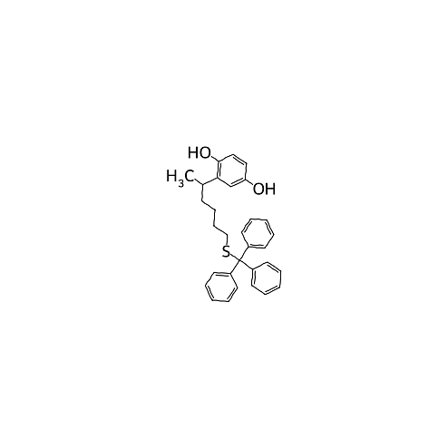 CC(CCCCSC(c1ccccc1)(c1ccccc1)c1ccccc1)c1cc(O)ccc1O